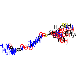 CO[C@@H](C[C@@H]1CCC[C@](O)(C(=O)C(=O)N2CCCC[C@H]2C(=O)O[C@@H](C[C@@H](O)[C@H](C)/C=C(\C)[C@@H](O)[C@@H](O)C(=N)[C@H](C)C[C@H](C)S)[C@H](N)C[C@@H]2CC[C@@H](O)[C@H](OC)C2)O1)/C(C)=C/C=C/SCOCC(=O)N1CCc2nc(N3CCN(c4ncc(C(=O)NCCOCCC(=O)N5CCc6cc(Cn7nc(-c8ccc9oc(N)nc9c8)c8c(N)ncnc87)ccc6C5)cn4)CC3)ncc2C1